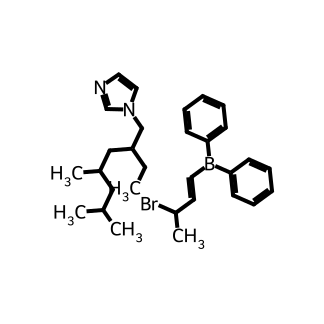 CC(Br)C=CB(c1ccccc1)c1ccccc1.CCC(CC(C)CC(C)C)Cn1ccnc1